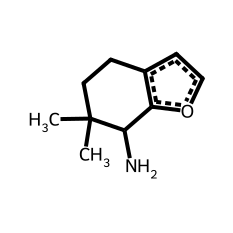 CC1(C)CCc2ccoc2C1N